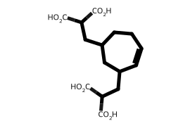 O=C(O)C(CC1C=CCCC(CC(C(=O)O)C(=O)O)C1)C(=O)O